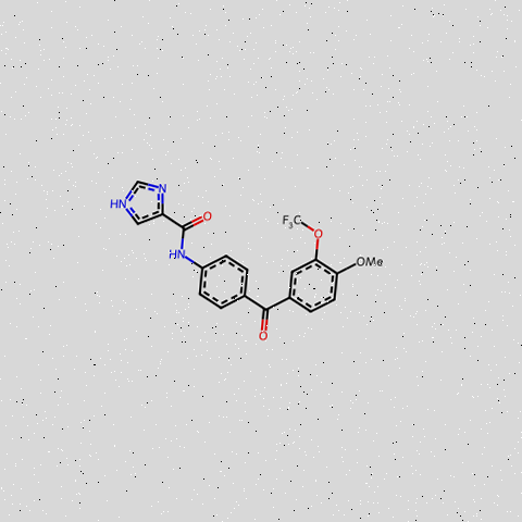 COc1ccc(C(=O)c2ccc(NC(=O)c3c[nH]cn3)cc2)cc1OC(F)(F)F